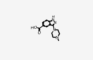 CN1CCN(c2n[nH]c3ccc(C(=O)O)cc23)CC1